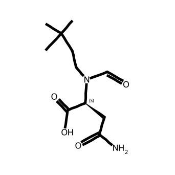 CC(C)(C)CCN(C=O)[C@@H](CC(N)=O)C(=O)O